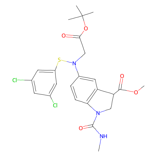 CNC(=O)N1CC(C(=O)OC)c2cc(N(CC(=O)OC(C)(C)C)Sc3cc(Cl)cc(Cl)c3)ccc21